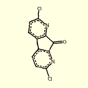 O=C1c2nc(Cl)ccc2-c2ccc(Cl)nc21